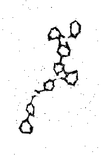 c1ccc(-c2ccc(-c3nnc(-c4ccc(-n5c6ccccc6c6cc(-c7ccc8c(c7)c7ccccc7n8-c7ccccc7)ccc65)cc4)o3)cc2)cc1